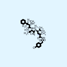 CN[C@H](C(=O)N[C@H](C(=O)N(C)[C@H](/C=C(\C)C(=O)NS(=O)(=O)Cc1ccc(Cl)cc1)C(C)C)C(C)(C)C)C(C)(C)c1ccccc1